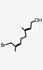 CC(=CCC/C(C)=C/CO)CBr